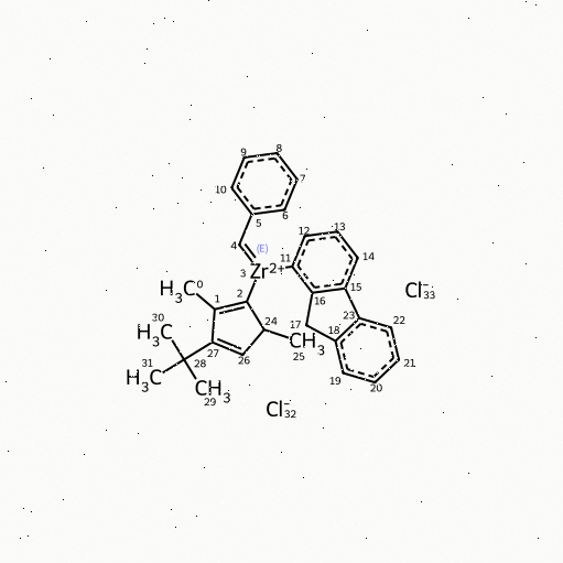 CC1=[C](/[Zr+2](=[CH]/c2ccccc2)[c]2cccc3c2Cc2ccccc2-3)C(C)C=C1C(C)(C)C.[Cl-].[Cl-]